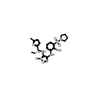 CC[C@@H](Nc1c(Nc2cccc(S(=O)(=O)N3CCCC3)c2O)no[n+]1[O-])c1ccc(C)o1